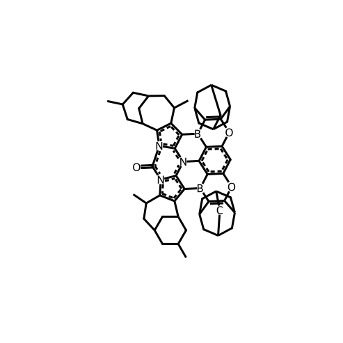 CC1CC2CC(C)c3c(c4c5n6c7c(c8c(n7c(=O)n35)C3CC(C)CC(CC8C)C3)B3C5=C(Oc7cc8c(c-6c73)B4C3=C(O8)C4CC6CC(C4)CC3C6)C3CC4CC(C3)CC5C4)C(C1)C2